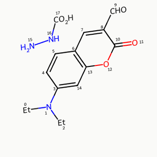 CCN(CC)c1ccc2cc(C=O)c(=O)oc2c1.NNC(=O)O